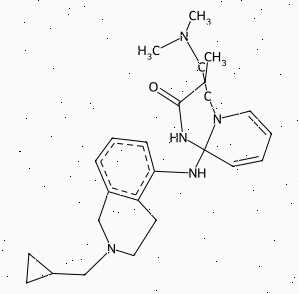 CCC(=O)NC1(Nc2cccc3c2CCN(CC2CC2)C3)C=CC=CN1CCN(C)C